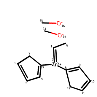 C[CH]=[Zr+2]([C]1=CC=CC1)[C]1=CC=CC1.C[O-].C[O-]